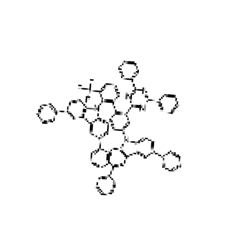 FC(F)(F)c1cccc(-c2ccc(-n3c4ccc(-c5ccccc5)cc4c4cc(-c5ccccc5)ccc43)cc2-c2nc(-c3ccccc3)nc(-c3ccccc3)n2)c1-n1c2ccc(-c3ccccc3)cc2c2cc(-c3ccccc3)ccc21